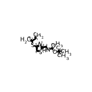 C=CC(=C)Sc1csc(CNC(=O)OC(C)(C)C)n1